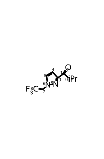 CC(C)C(=O)c1ccn(CC(F)(F)F)n1